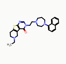 CCN1CCc2sc3ncn(CCN4CCCN(c5cccc6ccccc56)CC4)c(=O)c3c2C1